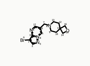 Brc1cnn2cc(CN3CCC4(CC3)COC4)cnc12